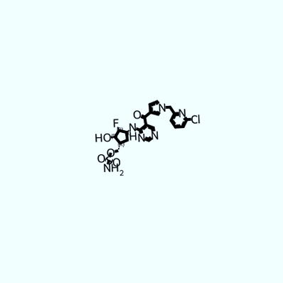 NS(=O)(=O)OC[C@H]1C[C@@H](Nc2ncncc2C(=O)c2ccn(Cc3cccc(Cl)n3)c2)[C@@H](F)[C@@H]1O